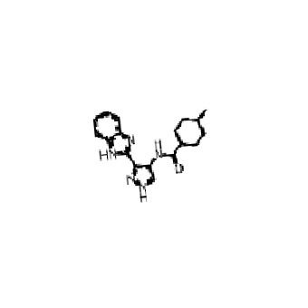 CC1CCC(C(=O)Nc2c[nH]nc2-c2nc3ccccc3[nH]2)CC1